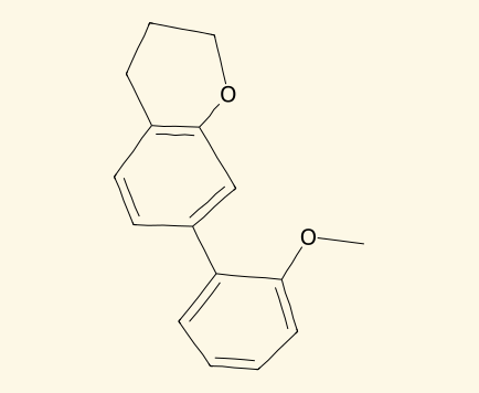 COc1ccccc1-c1ccc2c(c1)OCCC2